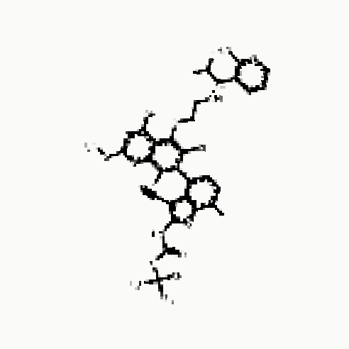 CSc1nc(O)c2c(OCCN[C@@H](c3cccnc3N)C(F)F)c(Cl)c(-c3ccc(F)c4sc(NC(=O)OC(C)(C)C)c(C#N)c34)c(F)c2n1